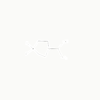 NC(O)N1CCC(F)(F)CC1